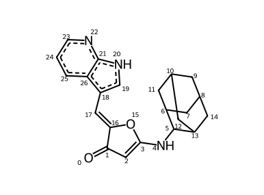 O=C1C=C(NC2C3CC4CC(C3)CC2C4)OC1=Cc1c[nH]c2ncccc12